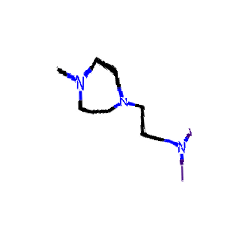 CN1CCN(CCN(I)I)CC1